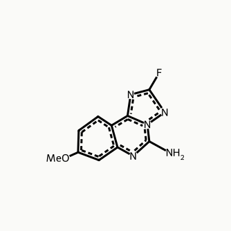 COc1ccc2c(c1)nc(N)n1nc(F)nc21